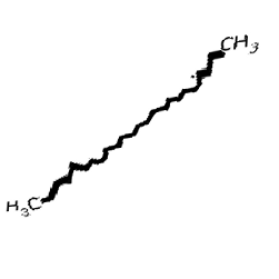 CCCC[CH]CCCCCCCCCCCCCCCCCCCC